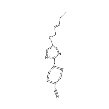 CCC=CCOc1cnc(-c2ccc(C#N)cc2)nc1